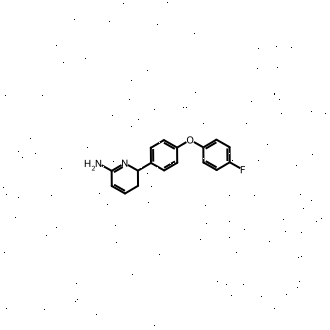 NC1=NC(c2ccc(Oc3ccc(F)cc3)cc2)CC=C1